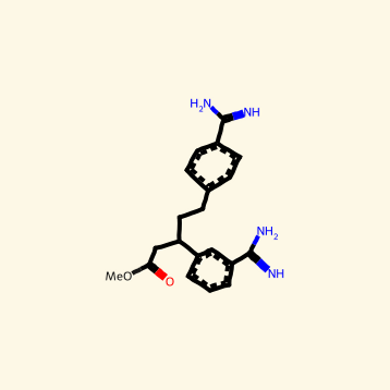 COC(=O)CC(CCc1ccc(C(=N)N)cc1)c1cccc(C(=N)N)c1